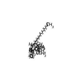 CCCCCCCCCCCCCCCCCCSc1nnc(Cc2ccccc2)n1-c1cc(C(C)(C)C)c(O)c(C(C)(C)C)c1